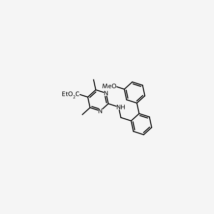 CCOC(=O)c1c(C)nc(NCc2ccccc2-c2cccc(OC)c2)nc1C